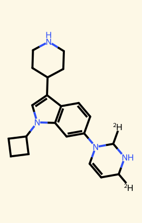 [2H]C1C=CN(c2ccc3c(C4CCNCC4)cn(C4CCC4)c3c2)C([2H])N1